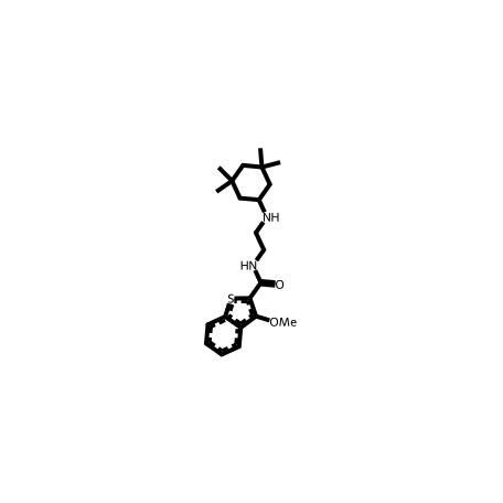 COc1c(C(=O)NCCNC2CC(C)(C)CC(C)(C)C2)sc2ccccc12